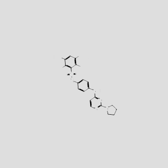 Cc1cc(C)c(C)c(S(=O)(=O)Nc2ccc(Nc3ccnc(N4CCCC4)n3)cc2)c1C